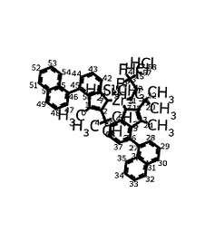 CC1=C(C(C)(C)C)[CH]([Zr]([CH3])(=[SiH2])([CH2]CC(F)(F)F)[CH]2C(C(C)(C)C)=C(C)c3c(-c4cccc5ccccc45)cccc32)c2cccc(-c3cccc4ccccc34)c21.Cl.Cl